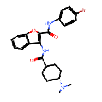 CN(C)[C@H]1CC[C@H](C(=O)Nc2c(C(=O)Nc3ccc(Br)cc3)oc3ccccc23)CC1